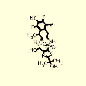 C=CC(C)c1c(F)c(C#N)c(F)c(C(C)C)c1CCNS(=O)(=O)c1sc(C(C)(C)O)nc1CO